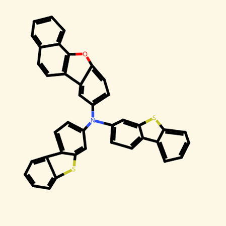 c1ccc2c(c1)ccc1c3cc(N(c4ccc5c(c4)sc4ccccc45)c4ccc5c(c4)sc4ccccc45)ccc3oc21